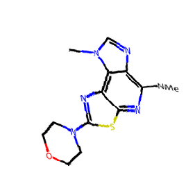 CNc1nc2sc(N3CCOCC3)nc2c2c1ncn2C